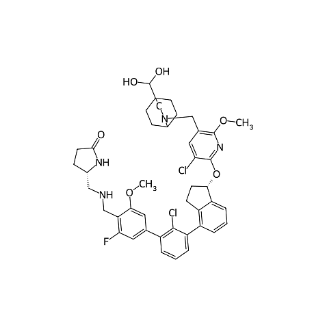 COc1cc(-c2cccc(-c3cccc4c3CC[C@@H]4Oc3nc(OC)c(CN4CC5(C(O)O)CCC4CC5)cc3Cl)c2Cl)cc(F)c1CNC[C@@H]1CCC(=O)N1